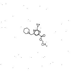 CCOC(=O)c1cc(CN2CCCCC2)nc(C2CC2)n1